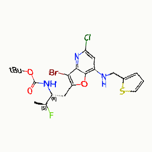 C[C@H](F)[C@@H](Cc1oc2c(NCc3cccs3)cc(Cl)nc2c1Br)NC(=O)OC(C)(C)C